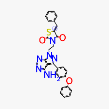 Nc1ncnc2c1c(-c1ccc(Oc3ccccc3)cc1)nn2CCN1C(=O)S/C(=C\c2ccccc2)C1=O